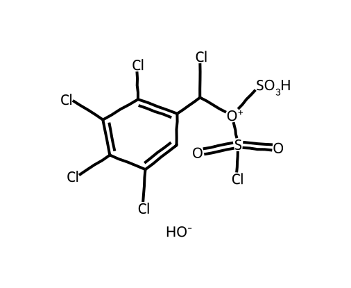 O=S(=O)(O)[O+](C(Cl)c1cc(Cl)c(Cl)c(Cl)c1Cl)S(=O)(=O)Cl.[OH-]